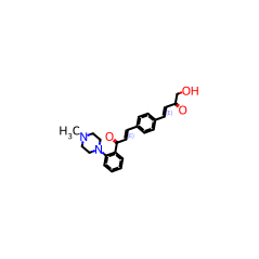 CN1CCN(c2ccccc2C(=O)/C=C/c2ccc(/C=C/C(=O)CO)cc2)CC1